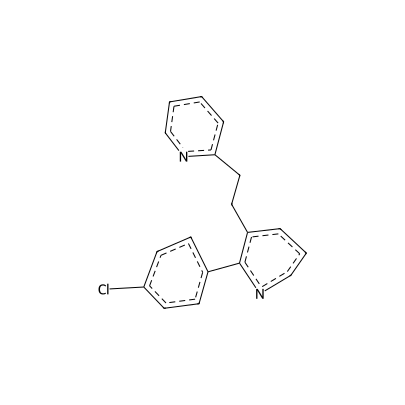 Clc1ccc(-c2ncccc2CCc2ccccn2)cc1